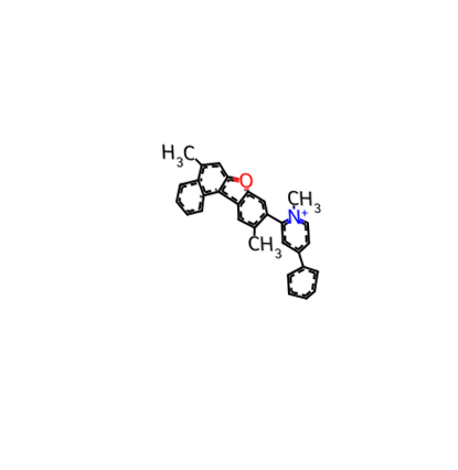 Cc1cc2c(cc1-c1cc(-c3ccccc3)cc[n+]1C)oc1cc(C)c3ccccc3c12